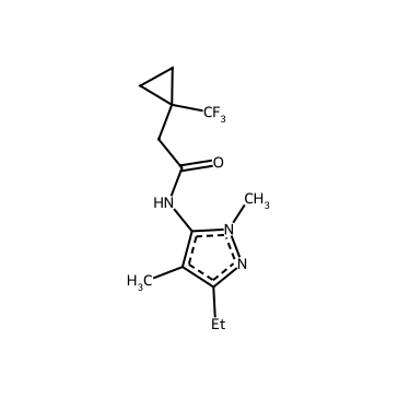 CCc1nn(C)c(NC(=O)CC2(C(F)(F)F)CC2)c1C